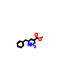 COC(=O)/C(C)=C/C(N)Cc1ccccc1